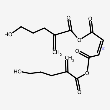 C=C(CCCO)C(=O)OC(=O)/C=C\C(=O)OC(=O)C(=C)CCCO